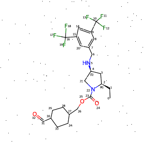 CC[C@@H]1C[C@H](NCc2cc(C(F)(F)F)cc(C(F)(F)F)c2)CN1C(=O)OCC1CCC(C=O)CC1